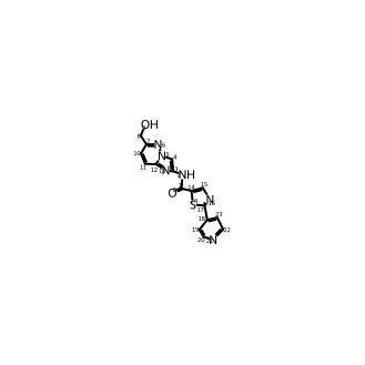 O=C(Nc1cn2nc(CO)ccc2n1)c1cnc(-c2ccncc2)s1